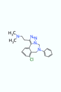 CN(C)CCc1nnn2c1-c1cccc(Cl)c1CN(c1ccccc1)C2